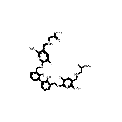 COC(=O)CNCc1cc(Cl)c(OCc2cccc(-c3cccc(COc4nc(OC)c(CNCC(=O)OC)cc4Cl)c3C)c2C)nc1OC